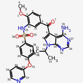 COc1ccc(C(=O)c2cn(C(C)C)c3ncnc(N)c23)cc1NS(=O)(=O)c1ccc(Oc2cccnc2)cc1